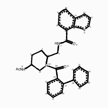 CC(=O)NC1CCC(CNC(=O)c2cccc3cccnc23)N(C(=O)c2ccccc2-c2ccccc2)C1